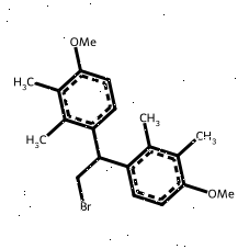 COc1ccc(C(CBr)c2ccc(OC)c(C)c2C)c(C)c1C